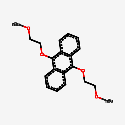 CCCCOCCOc1c2ccccc2c(OCCOCCCC)c2ccccc12